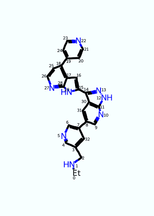 CCNCc1cncc(-c2cnc3[nH]nc(-c4cc5c(-c6ccncc6)ccnc5[nH]4)c3c2)c1